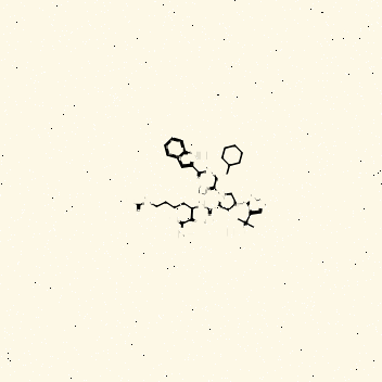 CC(C)(O)c1cnnn1[C@H]1C[C@@H](C(=O)NC(CCCCNC(=O)O)C(=O)C(N)=O)N(C(=O)[C@@H](CC2CCCCC2)NC(=O)c2cc3ccccc3[nH]2)C1